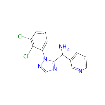 NC(c1cccnc1)c1ncnn1-c1cccc(Cl)c1Cl